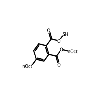 CCCCCCCCOC(=O)c1cc(CCCCCCCC)ccc1C(=O)OS